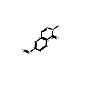 Cn1ncc2cc(N=S)ccc2c1=O